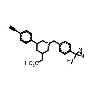 C#Cc1ccc(C2CC(CC(=O)O)CN(Cc3ccc(C4(C(F)(F)F)N=N4)cc3)C2)cc1